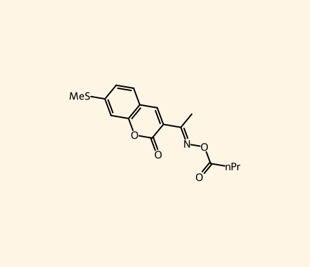 CCCC(=O)O/N=C(\C)c1cc2ccc(SC)cc2oc1=O